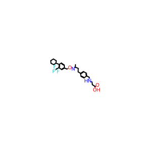 CC(CCc1ccc(CNCCC(=O)O)cc1)=NOCc1ccc(C2CCCCC2)c(C(F)(F)F)c1